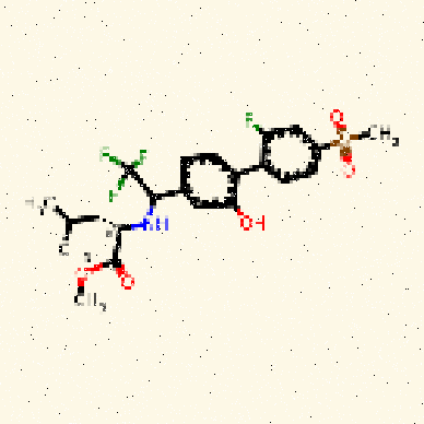 COC(=O)[C@H](CC(C)C)NC(c1ccc(-c2ccc(S(C)(=O)=O)cc2F)c(O)c1)C(F)(F)F